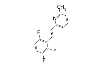 Cc1cccc(/C=C/c2c(F)ccc(F)c2F)n1